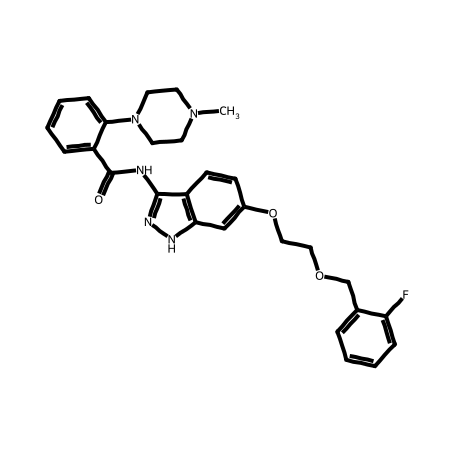 CN1CCN(c2ccccc2C(=O)Nc2n[nH]c3cc(OCCOCc4ccccc4F)ccc23)CC1